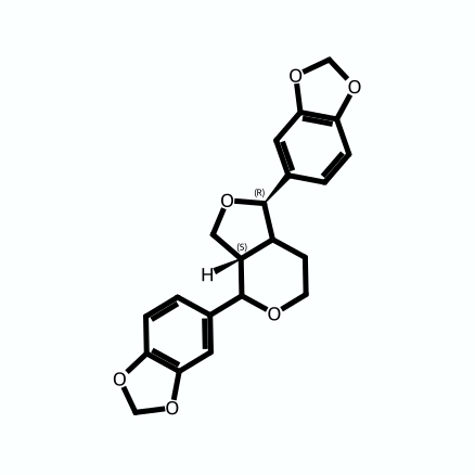 c1cc2c(cc1C1OCCC3[C@H]1CO[C@H]3c1ccc3c(c1)OCO3)OCO2